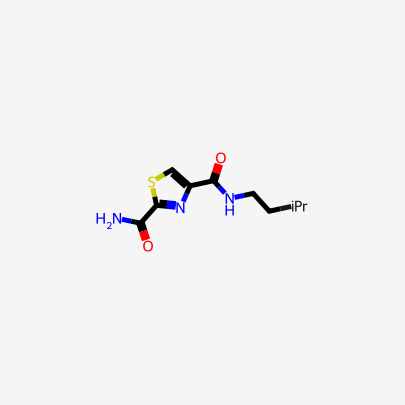 CC(C)CCNC(=O)c1csc(C(N)=O)n1